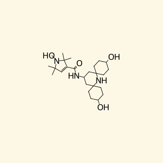 CC1(C)C=C(C(=O)NC2CC3(CCC(O)CC3)NC3(CCC(O)CC3)C2)C(C)(C)N1O